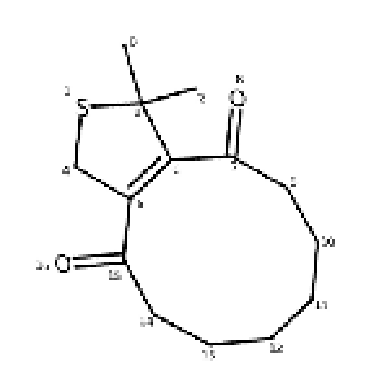 CC1(C)SCC2=C1C(=O)CCCCCCC2=O